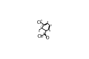 C[C@H]1C(Cl)=CC=CC1C(=O)Cl